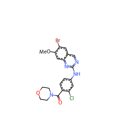 COc1cc2nc(Nc3ccc(C(=O)N4CCOCC4)c(Cl)c3)ncc2cc1Br